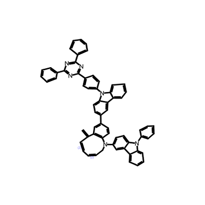 C=C1/C=C\C=C/CN(c2ccc3c(c2)c2ccccc2n3-c2ccccc2)c2ccc(-c3ccc4c(c3)c3ccccc3n4-c3ccc(-c4nc(-c5ccccc5)nc(-c5ccccc5)n4)cc3)cc21